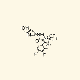 Cc1c([C@H]2[C@H](C(=O)Nc3ccc(CO)nc3)O[C@@](C)(C(F)(F)F)[C@H]2C)ccc(F)c1F